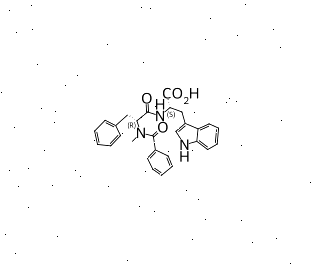 CN(C(=O)c1ccccc1)[C@H](Cc1ccccc1)C(=O)N[C@@H](Cc1c[nH]c2ccccc12)C(=O)O